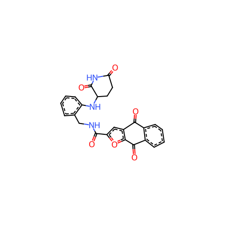 O=C1CCC(Nc2ccccc2CNC(=O)c2cc3c(o2)C(=O)c2ccccc2C3=O)C(=O)N1